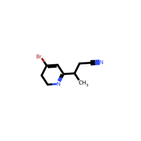 CC(CC#N)C1=NCCC(Br)=C1